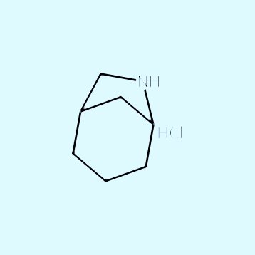 C1CC2CNC(C1)C2.Cl